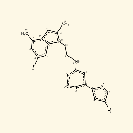 CCc1csc(-c2cc(NCCn3c(C)cc4c(C)cc(F)cc43)ncn2)c1